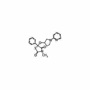 CN1C(=O)SC(OC2CCN(c3ccccn3)C2)(c2ccccc2)C1=O